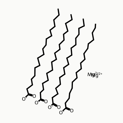 CCCCCCCCCCCCCCCCCC(=O)[O-].CCCCCCCCCCCCCCCCCC(=O)[O-].CCCCCCCCCCCCCCCCCC(=O)[O-].CCCCCCCCCCCCCCCCCC(=O)[O-].[Mg+2].[Mg+2]